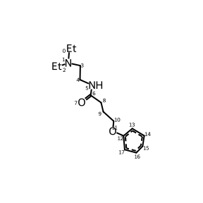 CCN(CC)CCNC(=O)CCCOc1ccccc1